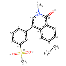 CC.Cn1cc(-c2cccc(S(C)(=O)=O)c2)c2ccccc2c1=O